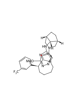 COc1cc(N2C[C@H]3CC[C@@H](C2)[C@H]3Nc2nc3n(n2)CCCC[C@H]3c2cccc(C(F)(F)F)c2)cnn1